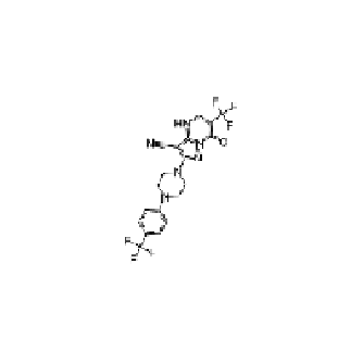 N#Cc1c(N2CCN(c3ccc(C(F)(F)F)cc3)CC2)nn2c(=O)c(C(F)(F)F)c[nH]c12